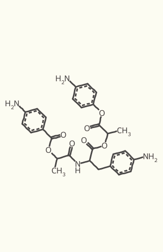 CC(OC(=O)c1ccc(N)cc1)C(=O)NC(Cc1ccc(N)cc1)C(=O)OC(C)C(=O)Oc1ccc(N)cc1